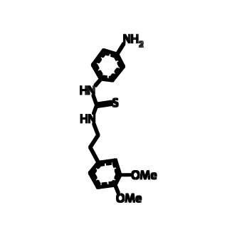 COc1ccc(CCNC(=S)Nc2ccc(N)cc2)cc1OC